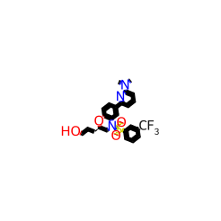 CN(C)c1cccc(-c2ccc3c(c2)N(S(=O)(=O)c2cccc(C(F)(F)F)c2)C[C@H](CCCO)O3)n1